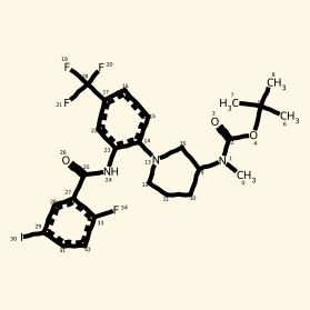 CN(C(=O)OC(C)(C)C)C1CCCN(c2ccc(C(F)(F)F)cc2NC(=O)c2cc(I)ccc2F)C1